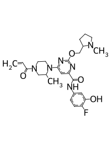 C=CC(=O)N1CCN(c2cc(C(=O)Nc3ccc(F)c(O)c3)nc(OCC3CCCN3C)n2)C(C)C1